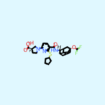 O=C(N[C@H]1C2CC3CC1C[C@](OC(F)F)(C3)C2)c1ccc(N2CC[C@@H](C(=O)O)C2)nc1SC1CCCC1